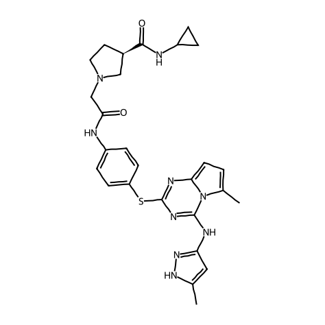 Cc1cc(Nc2nc(Sc3ccc(NC(=O)CN4CC[C@@H](C(=O)NC5CC5)C4)cc3)nc3ccc(C)n23)n[nH]1